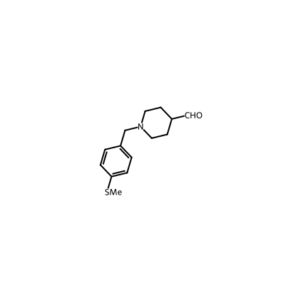 CSc1ccc(CN2CCC(C=O)CC2)cc1